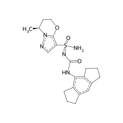 C[C@H]1CCOc2c(S(N)(=O)=NC(=O)Nc3c4c(cc5c3CCC5)CCC4)cnn21